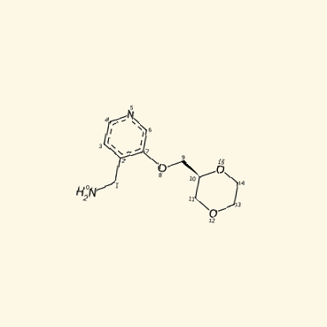 NCc1ccncc1OC[C@@H]1COCCO1